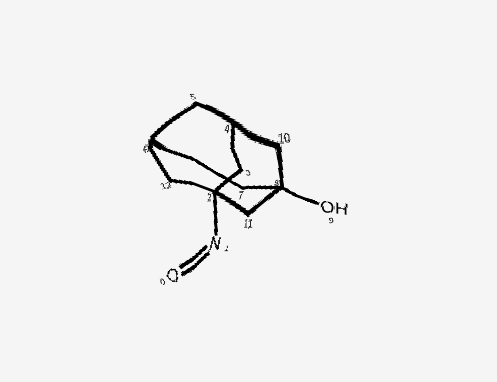 O=NC12CC3CC(CC(O)(C3)C1)C2